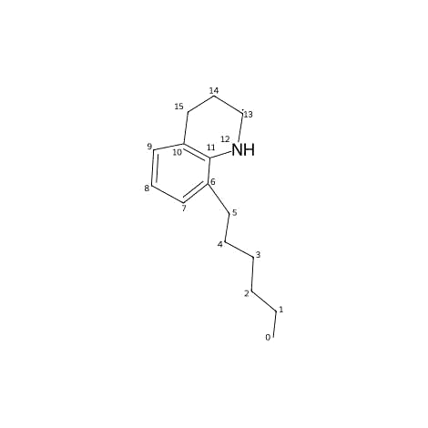 CCCCCCc1cccc2c1N[CH]CC2